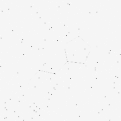 [S]CCC1CSCS1